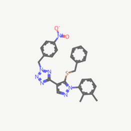 Cc1cccc(-n2ncc(-c3nnn(Cc4ccc([N+](=O)[O-])cc4)n3)c2SCc2ccccc2)c1C